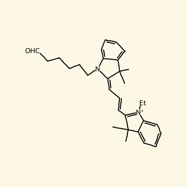 CC[N+]1=C(/C=C/C=C2/N(CCCCCC=O)c3ccccc3C2(C)C)C(C)(C)c2ccccc21